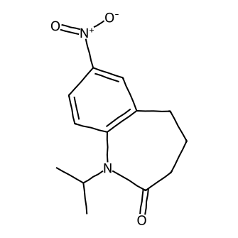 CC(C)N1C(=O)CCCc2cc([N+](=O)[O-])ccc21